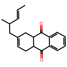 CC=CC(C)CC1=CCC2C(=O)c3ccccc3C(=O)C2C1